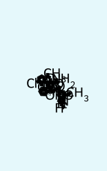 CCOc1c(C(N)=O)cc([C@@](O)(CNC(=O)c2cc(OC)c3nn(C(F)F)cc3c2)c2ccccc2)nc1-c1cccc(Cl)c1Cl